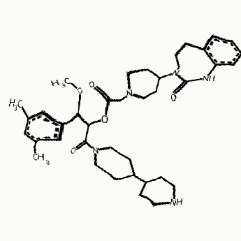 CO[C@H](c1cc(C)cc(C)c1)C(OC(=O)N1CCC(N2CCc3ccccc3NC2=O)CC1)C(=O)N1CCC(C2CCNCC2)CC1